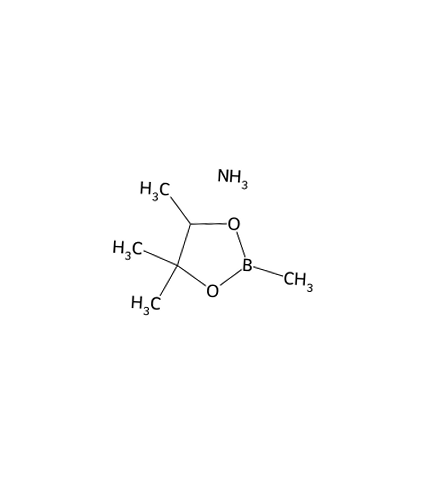 CB1OC(C)C(C)(C)O1.N